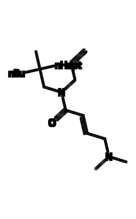 C=CCN(CC(C)(CCCC)CCCCCCC)C(=O)/C=C/CN(C)C